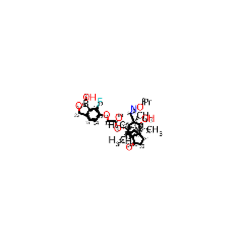 CC(C)O/N=C\[C@]1(C)C[C@@H](OC(=O)COc2ccc3c(c2F)B(O)OC3)[C@]2(C)[C@H](C)CC[C@]3(CCC(=O)[C@H]32)[C@@H](C)[C@@H]1O